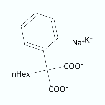 CCCCCCC(C(=O)[O-])(C(=O)[O-])c1ccccc1.[K+].[Na+]